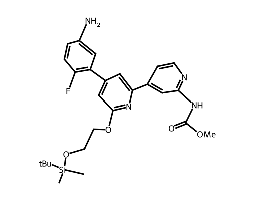 COC(=O)Nc1cc(-c2cc(-c3cc(N)ccc3F)cc(OCCO[Si](C)(C)C(C)(C)C)n2)ccn1